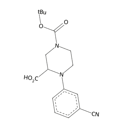 CC(C)(C)OC(=O)N1CCN(c2cccc(C#N)c2)C(C(=O)O)C1